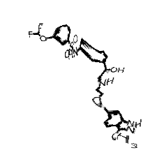 Cc1n[nH]c2cc(OCCNC[C@H](O)c3cccc(NS(=O)(=O)c4cccc(OC(F)F)c4)c3)ccc12